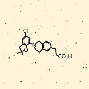 CC1(C)Cc2cc(Cl)cc(N3CCc4cc(CCC(=O)O)ccc4C3)c2O1